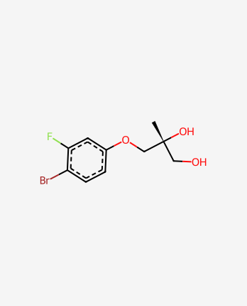 C[C@@](O)(CO)COc1ccc(Br)c(F)c1